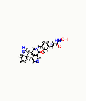 O=C(/C=C/c1ccc(CN(CCC2CNc3ccccc32)C(=O)c2cccnc2)cc1)NO